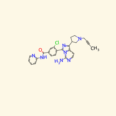 CC#CCN1CCC(c2nc(-c3ccc(C(=O)Nc4ccccn4)cc3Cl)n3c(N)nccc23)C1